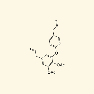 C=CCc1ccc(Oc2cc(CC=C)cc(OC(C)=O)c2OC(C)=O)cc1